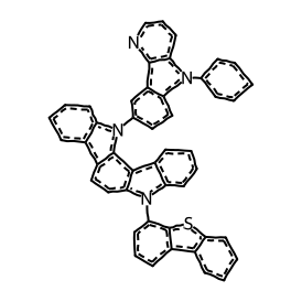 c1ccc(-n2c3ccc(-n4c5ccccc5c5ccc6c(c7ccccc7n6-c6cccc7c6sc6ccccc67)c54)cc3c3ncccc32)cc1